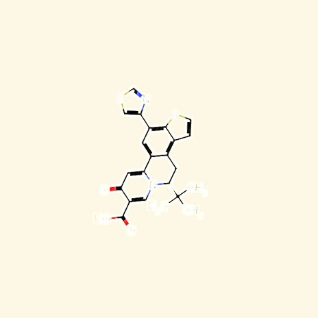 CC(C)(C)[C@@H]1Cc2c(cc(-c3cscn3)c3sccc23)-c2cc(=O)c(C(=O)O)cn21